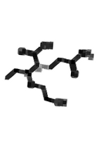 CCN(OCCO)[C@@H](CCC(N)=O)C(=O)O